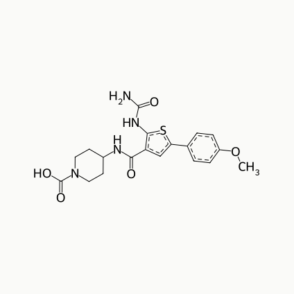 COc1ccc(-c2cc(C(=O)NC3CCN(C(=O)O)CC3)c(NC(N)=O)s2)cc1